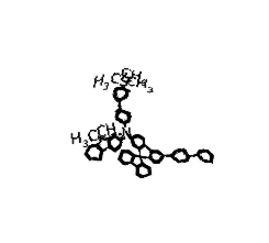 CC1(C)c2ccccc2-c2ccc(N(c3ccc(-c4ccc(S(C)(C)C)cc4)cc3)c3ccc4c(c3)C3(c5ccccc5-c5ccccc53)c3ccc(-c5ccc(-c6ccccc6)cc5)cc3-4)cc21